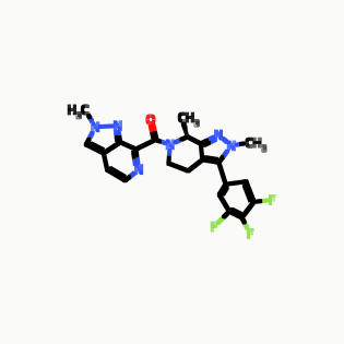 C[C@H]1c2nn(C)c(-c3cc(F)c(F)c(F)c3)c2CCN1C(=O)c1nccc2cn(C)nc12